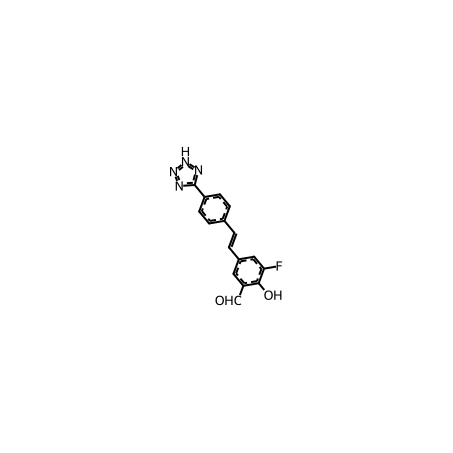 O=Cc1cc(/C=C/c2ccc(-c3nn[nH]n3)cc2)cc(F)c1O